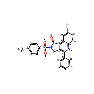 Cc1ccc(S(=O)(=O)N2Cc3c(-c4ccccc4)nc4ccc(Cl)cc4c3C2=O)cc1